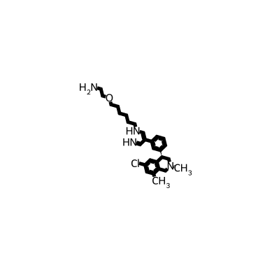 Cc1cc(Cl)cc2c1CN(C)C[C@H]2c1cccc(/C(C=N)=C/NCCCCCCOCCN)c1